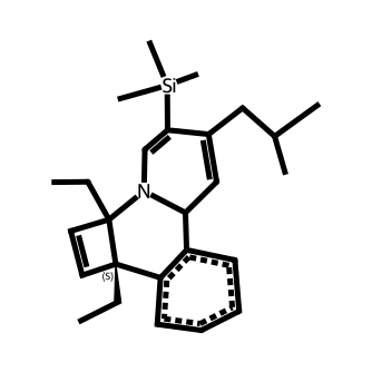 CCC12C=C[C@@]1(CC)c1ccccc1C1C=C(CC(C)C)C([Si](C)(C)C)=CN12